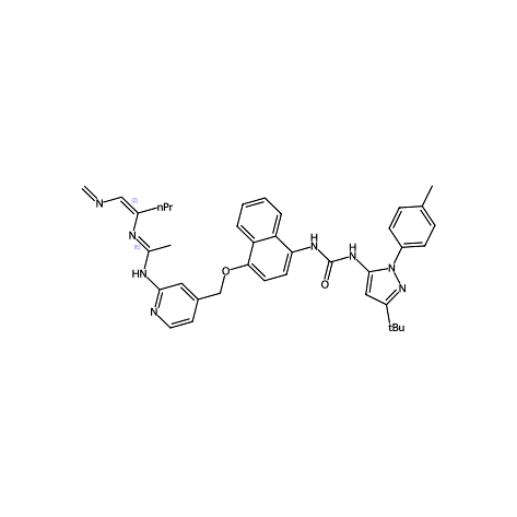 C=N/C=C(CCC)\N=C(/C)Nc1cc(COc2ccc(NC(=O)Nc3cc(C(C)(C)C)nn3-c3ccc(C)cc3)c3ccccc23)ccn1